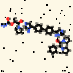 C[C@H](OC(N)=O)C(=O)N1CCC[C@H]1c1ncc(-c2ccc(-c3ccc(-c4cnc([C@@H]5CCCN5C(=O)[C@@H](c5ccccc5)N5CCCC5)[nH]4)cc3)cc2)[nH]1